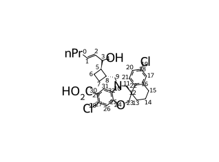 CCC/C=C/C(O)[C@@H]1CC[C@H]1CN1C[C@@]2(CCCc3cc(Cl)ccc32)COc2cc(Cl)c(C(=O)O)cc21